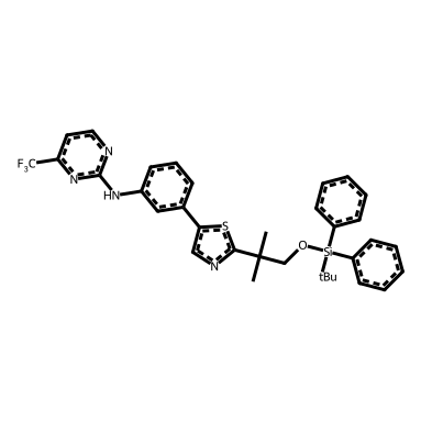 CC(C)(CO[Si](c1ccccc1)(c1ccccc1)C(C)(C)C)c1ncc(-c2cccc(Nc3nccc(C(F)(F)F)n3)c2)s1